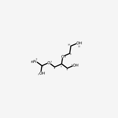 CCCC(O)OCC(CO)OCCO